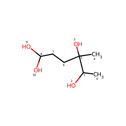 CC(O)C(C)(O)CCC(O)O